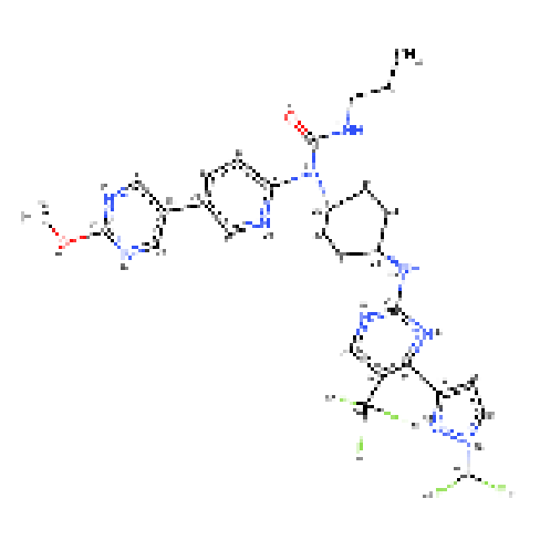 CCCNC(=O)N(c1ccc(-c2cnc(OC)nc2)cn1)[C@H]1CC[C@H](Nc2ncc(C(F)(F)F)c(-c3ccn(C(F)F)n3)n2)CC1